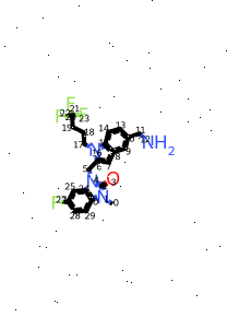 Cn1c(=O)n(Cc2cc3cc(CN)ccc3n2CCCC(F)(F)F)c2cc(F)ccc21